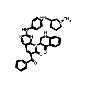 CN1CCCC(Nc2ccc(Nc3ncc4cc(C(=O)c5ccccc5)c(=O)n(C5CNc6ccccc6C5=O)c4n3)cc2)C1